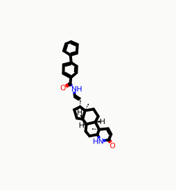 C[C@]12CC[C@H]3[C@@H](CCC4NC(=O)C=C[C@@]43C)[C@@H]1CC[C@@H]2/C=C/NC(=O)c1ccc(-c2ccccc2)cc1